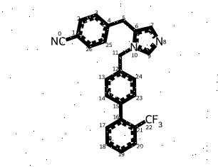 N#Cc1ccc(Cc2cncn2Cc2ccc(-c3ccccc3C(F)(F)F)cc2)cc1